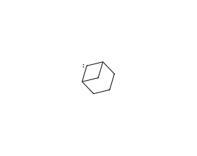 [C]1C2CCCC1C2